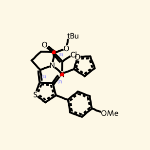 COc1ccc(-c2csc3/c2=N\C(Cl)=C/CC/C=3N(Cc2ccco2)C(=O)OC(C)(C)C)cc1